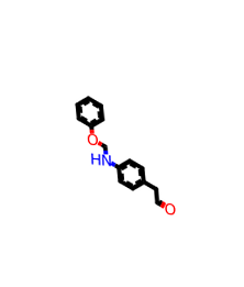 O=CCc1ccc(NCOc2ccccc2)cc1